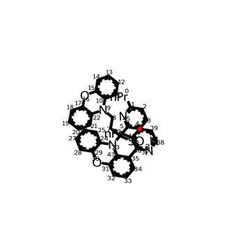 CCCc1cccc(C(CCN2c3ccccc3Oc3ccccc32)(N2c3ccccc3Oc3cccc(-c4ncccc4CCC)c32)S(=O)(=O)O)n1